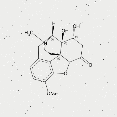 COc1ccc2c3c1OC1C(=O)C[C@@H](O)[C@@]4(O)[C@@H](C2)N(C)CC[C@]314